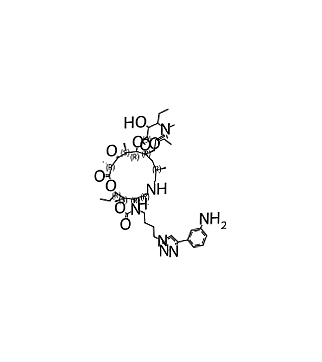 C=CC[C@@]1(OC)C[C@@H](C)CN[C@H](C)[C@H]2N(CCCCn3cc(-c4cccc(N)c4)nn3)C(=O)O[C@]2(C)[C@@H](CC)OC(=O)[C@H](C)C(=O)[C@@H](C)[C@H]1O[C@H](OCC)C(O)C(CC)N(C)C